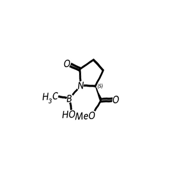 COC(=O)[C@@H]1CCC(=O)N1B(C)O